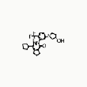 O=c1c2c(c(C3CCCC3)nn1-c1cc(N3CC[C@H](O)C3)ccc1C(F)(F)F)CCC2